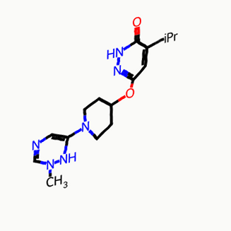 CC(C)c1cc(OC2CCN(C3=CN=CN(C)N3)CC2)n[nH]c1=O